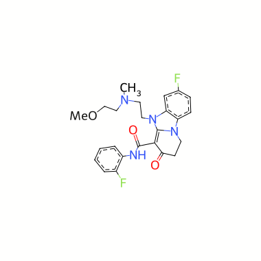 COCCN(C)CCN1C2=C(C(=O)Nc3ccccc3F)C(=O)CCN2c2ccc(F)cc21